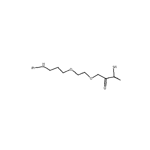 CC(C)NCCCOCCOCC(=O)C(C)S